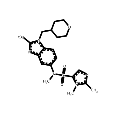 Cc1ncc(S(=O)(=O)N(C)c2ccc3c(c2)nc(C(C)(C)C)n3CC2CCOCC2)n1C